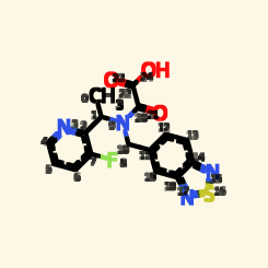 CC(c1ncccc1F)N(Cc1ccc2nsnc2c1)C(=O)C(=O)O